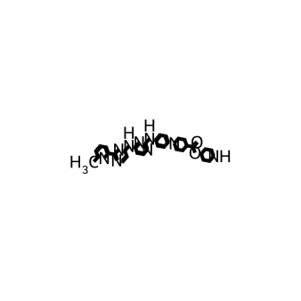 Cc1cccc(-c2nccc(Nc3ccnc(Nc4ccc(N5CCC(C(=O)OC6CCNCC6)CC5)cc4)n3)n2)n1